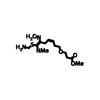 C=N/C(C/C=C\CCOCCC(=O)OC)=C(/NC)SCN